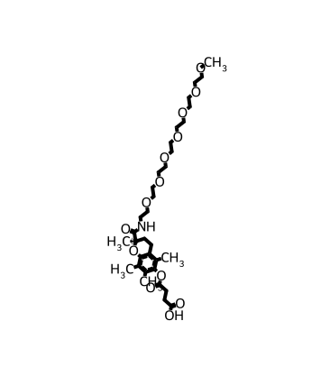 COCCOCCOCCOCCOCCOCCOCCNC(=O)[C@]1(C)CCc2c(C)c(OC(=O)CCC(=O)O)c(C)c(C)c2O1